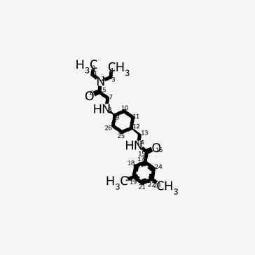 CCN(CC)C(=O)CN[C@H]1CC[C@@H](CNC(=O)c2cc(C)cc(C)c2)CC1